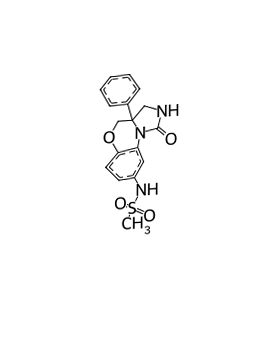 CS(=O)(=O)Nc1ccc2c(c1)N1C(=O)NCC1(c1ccccc1)CO2